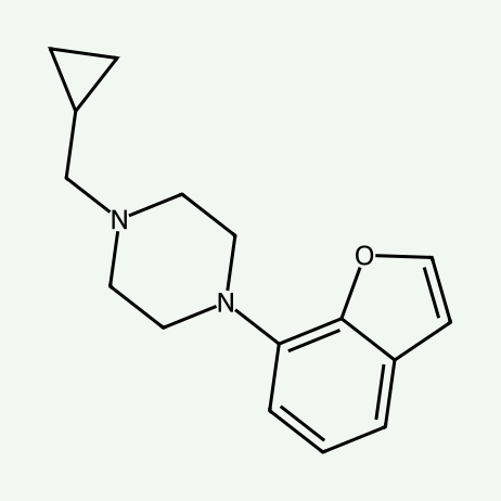 c1cc(N2CCN(CC3CC3)CC2)c2occc2c1